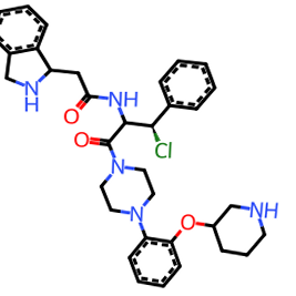 O=C(CC1NCc2ccccc21)NC(C(=O)N1CCN(c2ccccc2OC2CCCNC2)CC1)[C@H](Cl)c1ccccc1